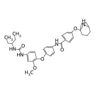 CCC(CC)NC(=O)Nc1ccc(Oc2ccc(NC(=O)c3ccc(OC45CCCC(CC4)N5)cc3)cc2)c(OC)c1